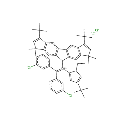 CCC1C=C(C(C)(C)C)C=[C]1[Zr+2](=[C](c1cccc(Cl)c1)c1cccc(Cl)c1)[CH]1c2cc3c(cc2-c2cc4c(cc21)C(C)(C)C=C4C(C)(C)C)C(C(C)(C)C)=CC3(C)C.[Cl-].[Cl-]